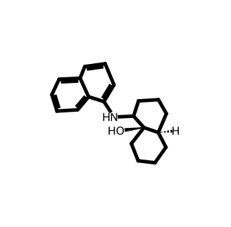 O[C@]12CCCC[C@@H]1CCCC2Nc1cccc2ccccc12